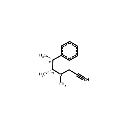 C#CCN(C)[C@H](C)[C@H](C)c1ccccc1